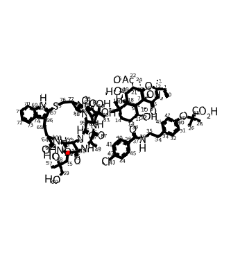 C=C[C@@]1(C)CC(=O)[C@]2(O)[C@@]3(C)[C@@H](O)CCC(C)(C)[C@@H]3[C@H](O)[C@H](OC(C)=O)[C@@]2(C)O1.CC(C)(Oc1ccc(CCNC(=O)c2ccc(Cl)cc2)cc1)C(=O)O.CC1NC(=O)C(CC(C)(O)CO)NC(=O)C2Cc3c([nH]c4ccccc34)SCC(NC(=O)C(C(C)O)NC1=O)C(=O)N1CC(O)CC1C(=O)NC(C)C(=O)N2